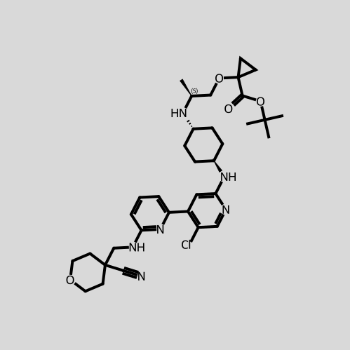 C[C@@H](COC1(C(=O)OC(C)(C)C)CC1)N[C@H]1CC[C@H](Nc2cc(-c3cccc(NCC4(C#N)CCOCC4)n3)c(Cl)cn2)CC1